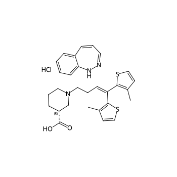 C1=Cc2ccccc2NN=C1.Cc1ccsc1C(=CCCN1CCC[C@@H](C(=O)O)C1)c1sccc1C.Cl